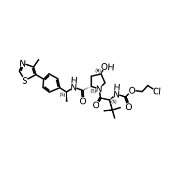 Cc1ncsc1-c1ccc([C@H](C)NC(=O)[C@@H]2C[C@@H](O)CN2C(=O)[C@@H](NC(=O)OCCCl)C(C)(C)C)cc1